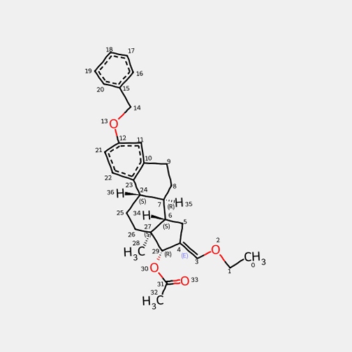 CCO/C=C1\C[C@H]2[C@@H]3CCc4cc(OCc5ccccc5)ccc4[C@H]3CC[C@]2(C)[C@H]1OC(C)=O